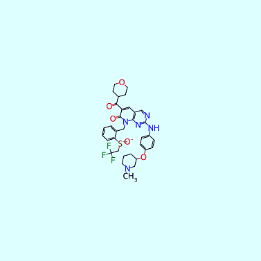 CN1CCCC(Oc2ccc(Nc3ncc4cc(C(=O)C5CCOCC5)c(=O)n(Cc5ccccc5[S+]([O-])CC(F)(F)F)c4n3)cc2)C1